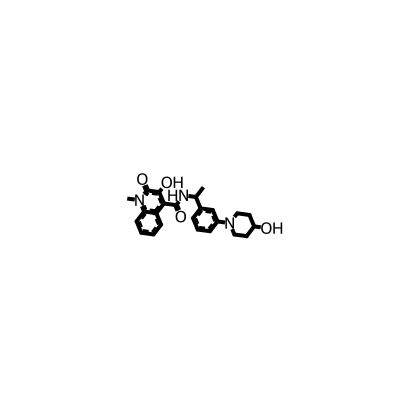 CC(NC(=O)c1c(O)c(=O)n(C)c2ccccc12)c1cccc(N2CCC(O)CC2)c1